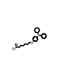 CCN(CC)CCCCCCOc1ccc(N(c2ccccc2)C2CCCCC2)cc1